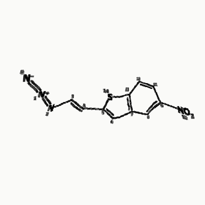 [N-]=[N+]=NC=Cc1cc2cc([N+](=O)[O-])ccc2s1